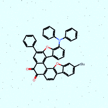 CC(C)(C)c1ccc2c(c1)oc1c3c(ccc12)C(=O)C(=O)c1cc(-c2ccccc2)c2oc4c(N(c5ccccc5)c5ccccc5)cccc4c2c1-3